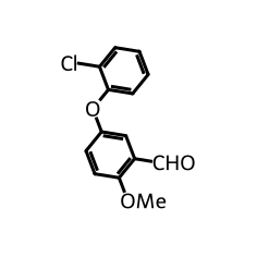 COc1ccc(Oc2ccccc2Cl)cc1C=O